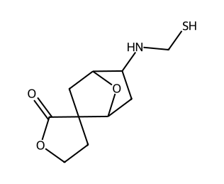 O=C1OCCC12CC1OC2CC1NCS